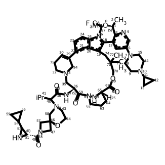 CO[C@@H](C)c1ncc(N2CCN(C3CC3)CC2)cc1-c1c2c3cc(ccc3n1CC(F)(F)F)C1=CCCN(C1)C[C@H](NC(=O)C(C(C)C)N1CCOC3(CN(C(=O)[C@@H]4NC4C4CC4)C3)C1)C(=O)N1CCC[C@H](N1)C(=O)OCC(C)(C)C2